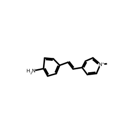 C[n+]1ccc(C=Cc2ccc(N)cc2)cc1